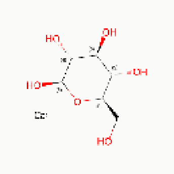 OC[C@H]1O[C@@H](O)[C@H](O)[C@@H](O)[C@@H]1O.[Ca]